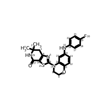 CC1(C)Cc2nc(N3CCOc4ccc(Nc5ccc(F)cc5)cc43)sc2C(=O)N1